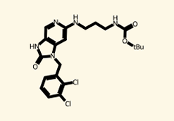 CC(C)(C)OC(=O)NCCCNc1cc2c(cn1)[nH]c(=O)n2Cc1cccc(Cl)c1Cl